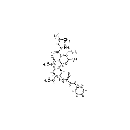 CC[C@H](C(=O)O)N(C(=O)[C@@H](N)CC(C)C)[C@@H](Cc1ccc(OC)c(NC(=O)OCc2ccccc2)c1)C(=O)NC